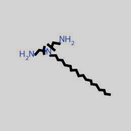 CCCCCCCCCCCCCCCCCCN(C(C)(C)CCN)C(C)(C)CCN